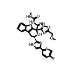 CNC(=O)OC(=N)C1(c2noc(COC)n2)N[C@@H](c2nc(-c3ccc(F)cn3)c[nH]2)Cc2c1[nH]c1ccccc21